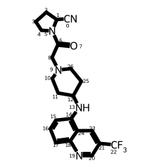 N#CC1CCCN1C(=O)CN1CCC(Nc2cccc3ncc(C(F)(F)F)cc23)CC1